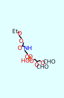 CCOCCOCC(=O)NCCOP(=O)(O)OCC(COC=O)OC=O